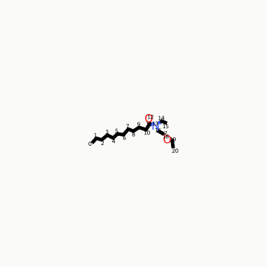 CCCCCCCCCCCC(=O)N(CC)CCOCC